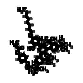 C=CC(=O)Oc1ccc(OC)cc1.CCCCCCCCOc1ccc(-c2nc(-c3ccc(C(C)(C)C)cc3C(C)(C)C)nc(-c3ccc(C(C)(C)C)cc3C(C)(C)C)n2)c(O)c1